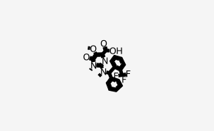 COc1c(C(=O)O)nc(N(C)C(c2ccccc2)c2ccccc2C(F)(F)F)n(C)c1=O